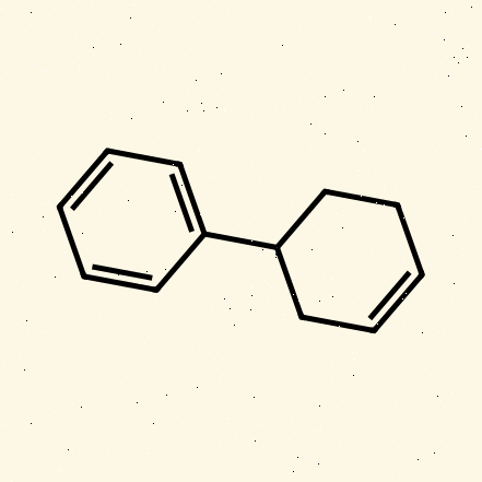 C1=CC[C](c2ccccc2)CC1